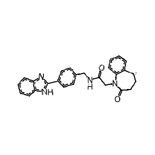 O=C(CN1C(=O)CC[C]c2ccccc21)NCc1ccc(-c2nc3ccccc3[nH]2)cc1